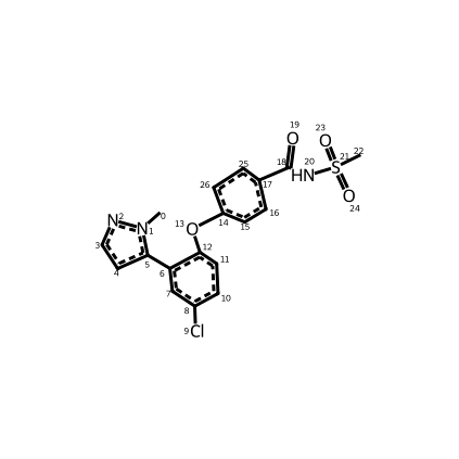 Cn1nccc1-c1cc(Cl)ccc1Oc1ccc(C(=O)NS(C)(=O)=O)cc1